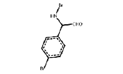 O=CC(NBr)c1ccc(Br)cc1